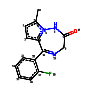 Cc1ccc2n1NC(=O)CN=C2c1ccccc1F